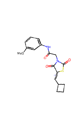 COc1cccc(NC(=O)CN2C(=O)S/C(=C\C3CCC3)C2=O)c1